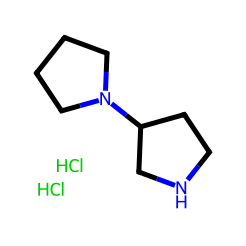 C1CCN(C2CCNC2)C1.Cl.Cl